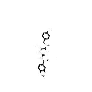 CCCC[C@H](NC(=O)N[C@@H](CC(=O)O)c1ccc2c(c1)OCO2)C(=O)N(C)Cc1ccc(C#N)cc1